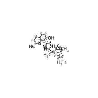 CN(c1ccc(-c2c(O)ccc3ccc(C#N)nc23)nn1)C1CC(C)(C)NC(C)(C)C1